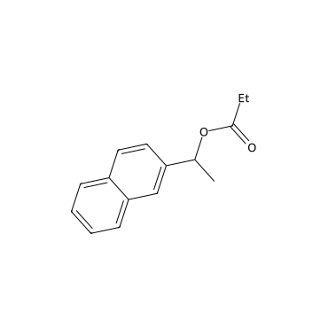 CCC(=O)OC(C)c1ccc2ccccc2c1